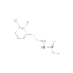 COC(=O)NNCCc1cccc(Cl)c1F